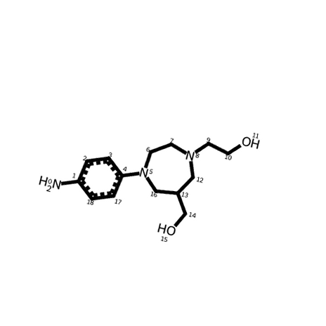 Nc1ccc(N2CCN(CCO)CC(CO)C2)cc1